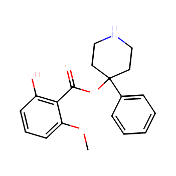 COc1cccc(O)c1C(=O)OC1(c2ccccc2)CCNCC1